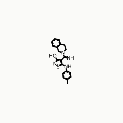 Cc1ccc(Nc2snc(O)c2C(=N)N2CCc3ccccc3C2)cc1